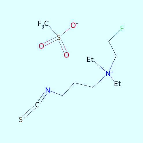 CC[N+](CC)(CCF)CCCN=C=S.O=S(=O)([O-])C(F)(F)F